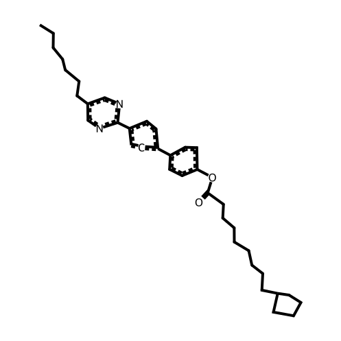 CCCCCCCc1cnc(-c2ccc(-c3ccc(OC(=O)CCCCCCCCC4CCCC4)cc3)cc2)nc1